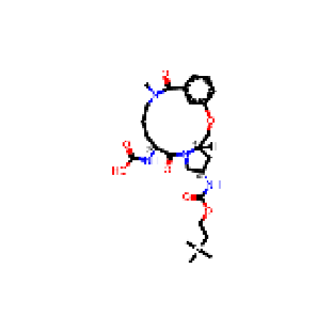 CN1CCC[C@H](NC(=O)O)C(=O)N2C[C@@H](NC(=O)OCC[Si](C)(C)C)C[C@H]2COc2cccc(c2)C1=O